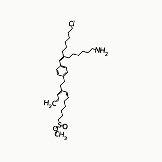 C=C/C=C(\C=C/CCCCCS(=O)OC)CCc1ccc(/C=C(\CCCCCCN)CCCCCCCl)cc1